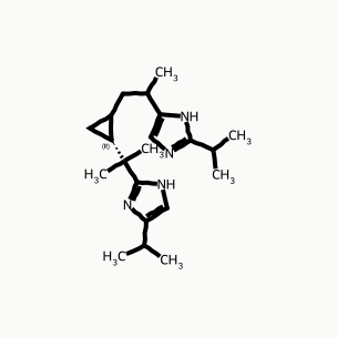 CC(C)c1c[nH]c(C(C)(C)[C@@H]2CC2CC(C)c2cnc(C(C)C)[nH]2)n1